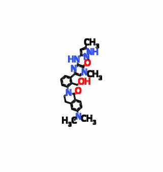 Cc1cc(Nc2nc(-c3cccc(N4CCc5cc(N(C)C)ccc5C4=O)c3CO)cn(C)c2=O)n[nH]1